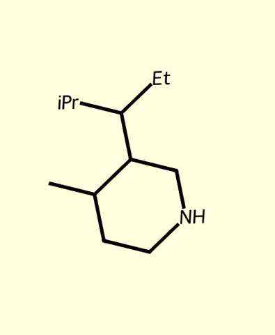 CCC(C(C)C)C1CNCCC1C